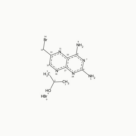 Br.CC(C)O.Nc1nc(N)c2nc(CBr)cnc2n1